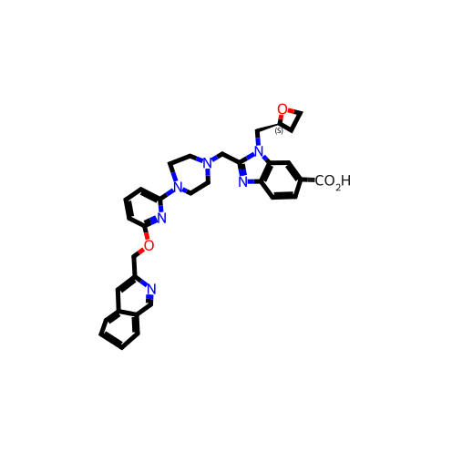 O=C(O)c1ccc2nc(CN3CCN(c4cccc(OCc5cc6ccccc6cn5)n4)CC3)n(C[C@@H]3CCO3)c2c1